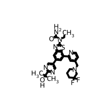 CCN(C(N)=O)c1nc2cc(-c3cnc(C(C)(C)O)nc3)cc(-c3cc(CN4CCCC(F)(F)C4)ccn3)c2s1